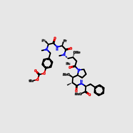 CC[C@H](C)[C@@H]([C@@H](CC(=O)N1CCC[C@H]1[C@H](OC)[C@@H](C)C(=O)N[C@@H](Cc1ccccc1)C(=O)OC)OC)N(C)C(=O)[C@@H](NC(=O)[C@H](C(C)C)N(C)Cc1ccc(OC(=O)OC(C)(C)C)cc1)C(C)C